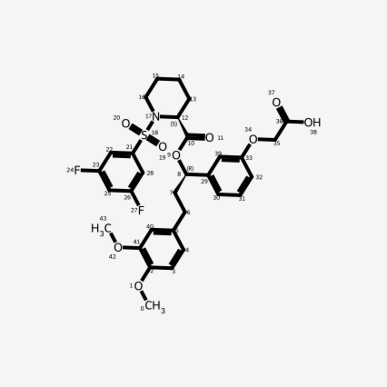 COc1ccc(CC[C@@H](OC(=O)[C@@H]2CCCCN2S(=O)(=O)c2cc(F)cc(F)c2)c2cccc(OCC(=O)O)c2)cc1OC